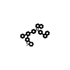 C1=CC2Sc3ccc(-c4cc(-c5ccc(N(c6ccc(-c7cccc8ccccc78)cc6)c6cccc7ccccc67)cc5)ccc4-c4ccccc4)cc3C2C=C1